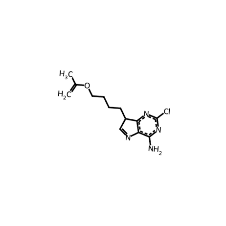 C=C(C)OCCCCC1C=Nc2c(N)nc(Cl)nc21